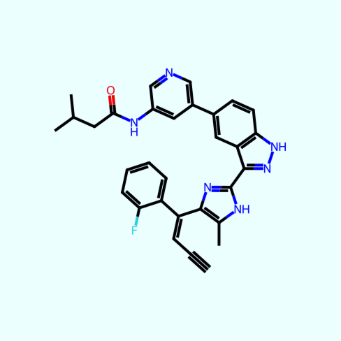 C#C/C=C(/c1ccccc1F)c1nc(-c2n[nH]c3ccc(-c4cncc(NC(=O)CC(C)C)c4)cc23)[nH]c1C